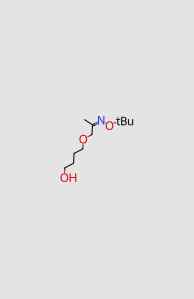 CC(COCCCCO)=NOC(C)(C)C